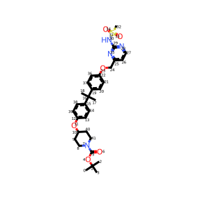 CC(C)(C)OC(=O)N1CCC(Oc2ccc(C(C)(C)c3ccc(OCc4ccnc(NS(C)(=O)=O)n4)cc3)cc2)CC1